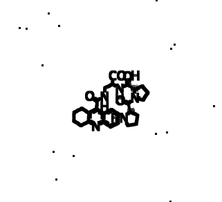 O=C(NCC(NC(=O)[C@H]1CCCN1C(=O)[C@H]1CCCN1)C(=O)O)c1c2c(nc3ccccc13)CCCC2